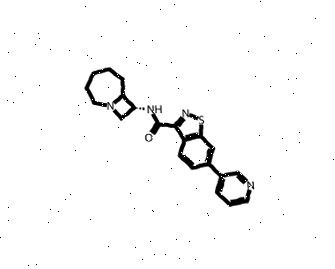 O=C(N[C@@H]1CN2CCCCCC12)c1nsc2cc(-c3cccnc3)ccc12